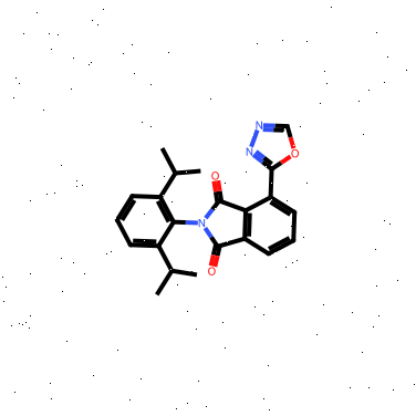 CC(C)c1cccc(C(C)C)c1N1C(=O)c2cccc(-c3nnco3)c2C1=O